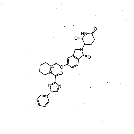 O=C1CCC(N2Cc3cc(OC[C@@H]4CCCCN4C(=O)c4ncn(-c5ccccc5)n4)ccc3C2=O)C(=O)N1